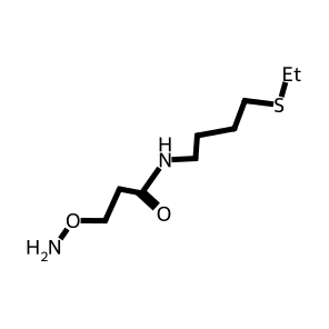 CCSCCCCNC(=O)CCON